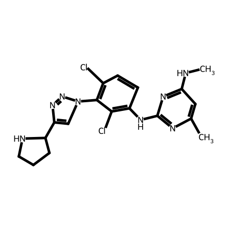 CNc1cc(C)nc(Nc2ccc(Cl)c(-n3cc(C4CCCN4)nn3)c2Cl)n1